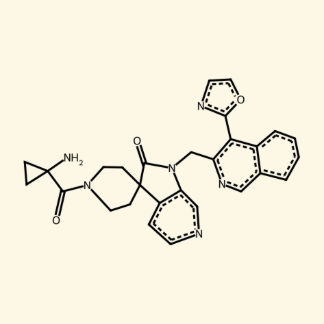 NC1(C(=O)N2CCC3(CC2)C(=O)N(Cc2ncc4ccccc4c2-c2ncco2)c2cnccc23)CC1